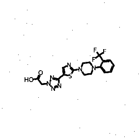 O=C(O)Cn1nnc(-c2cnc(N3CCN(c4ccccc4C(F)(F)F)CC3)s2)n1